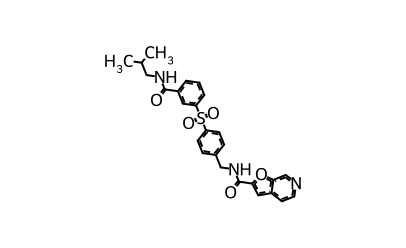 CC(C)CNC(=O)c1cccc(S(=O)(=O)c2ccc(CNC(=O)c3cc4ccncc4o3)cc2)c1